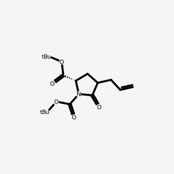 C=CCC1C[C@@H](C(=O)OC(C)(C)C)N(C(=O)OC(C)(C)C)C1=O